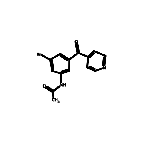 CC(=O)Nc1cc(Br)cc(C(=O)c2ccncc2)c1